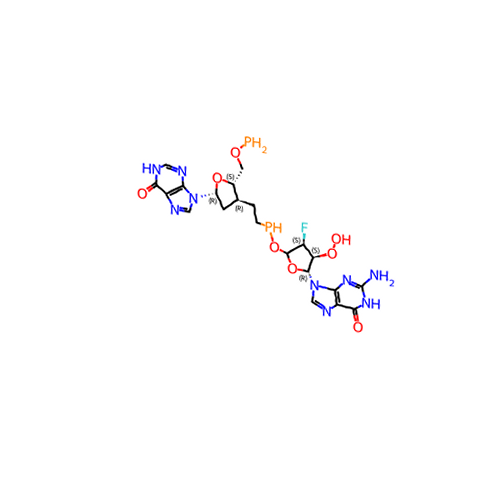 Nc1nc2c(ncn2[C@@H]2OC(OPCC[C@H]3C[C@H](n4cnc5c(=O)[nH]cnc54)O[C@@H]3COP)[C@@H](F)[C@H]2OO)c(=O)[nH]1